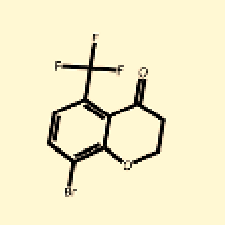 O=C1CCOc2c(Br)ccc(C(F)(F)F)c21